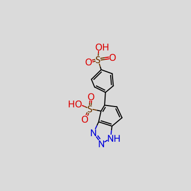 O=S(=O)(O)c1ccc(-c2ccc3[nH]nnc3c2S(=O)(=O)O)cc1